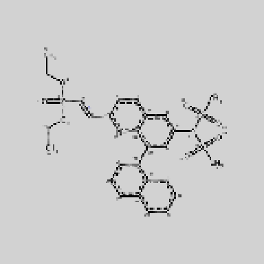 CCOP(=O)(/C=C/c1ccc2cc(N(S(C)(=O)=O)S(C)(=O)=O)cc(-c3cccc4ccccc34)c2n1)OCC